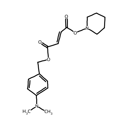 CN(C)c1ccc(COC(=O)/C=C/C(=O)ON2CCCCC2)cc1